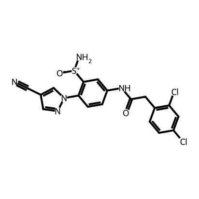 N#Cc1cnn(-c2ccc(NC(=O)Cc3ccc(Cl)cc3Cl)cc2[S+](N)[O-])c1